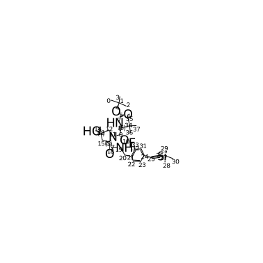 CC(C)(C)OC(=O)N[C@H](C(=O)N1C[C@H](O)C[C@H]1C(=O)NCc1ccc(C#C[Si](C)(C)C)cc1F)C(C)(C)C